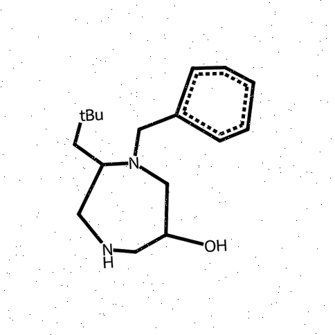 CC(C)(C)CC1CNCC(O)CN1Cc1ccccc1